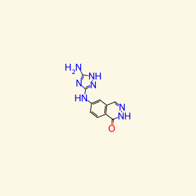 Nc1nc(Nc2ccc3c(=O)[nH]ncc3c2)n[nH]1